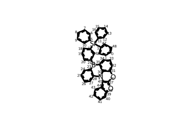 c1ccc([Si](c2ccccc2)(c2ccccc2)c2cccc(B3c4ccccc4N4c5c(cccc53)Oc3oc5ccccc5c34)c2)cc1